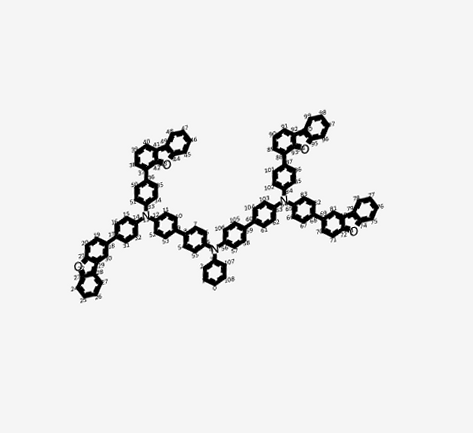 c1ccc(N(c2ccc(-c3ccc(N(c4ccc(-c5ccc6oc7ccccc7c6c5)cc4)c4ccc(-c5cccc6c5oc5ccccc56)cc4)cc3)cc2)c2ccc(-c3ccc(N(c4ccc(-c5ccc6oc7ccccc7c6c5)cc4)c4ccc(-c5cccc6c5oc5ccccc56)cc4)cc3)cc2)cc1